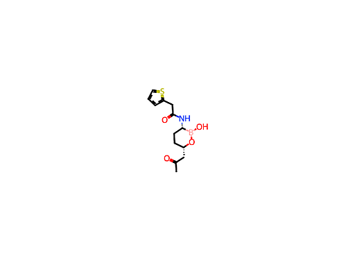 CC(=O)C[C@@H]1CC[C@H](NC(=O)Cc2cccs2)B(O)O1